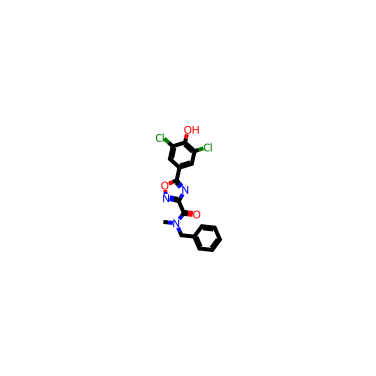 CN(Cc1ccccc1)C(=O)c1noc(-c2cc(Cl)c(O)c(Cl)c2)n1